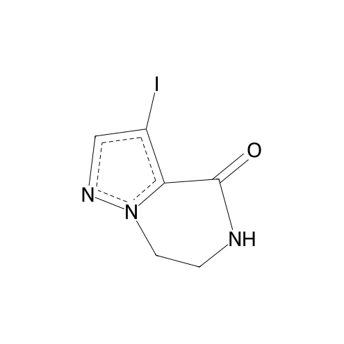 O=C1NCCn2ncc(I)c21